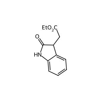 CCOC(=O)CC1C(=O)Nc2ccccc21